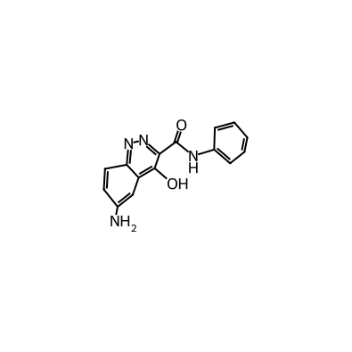 Nc1ccc2nnc(C(=O)Nc3ccccc3)c(O)c2c1